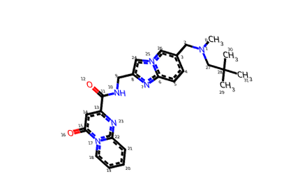 CN(Cc1ccc2nc(CNC(=O)c3cc(=O)n4ccccc4n3)cn2c1)CC(C)(C)C